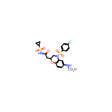 O=C(O)Nc1ccc2c(c1)N(S(=O)(=O)c1ccc(F)cc1)CC(CC(=O)NS(=O)(=O)C1CC1)O2